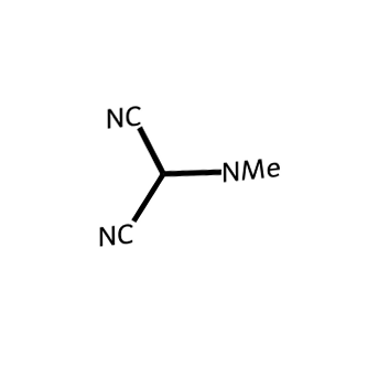 CNC(C#N)C#N